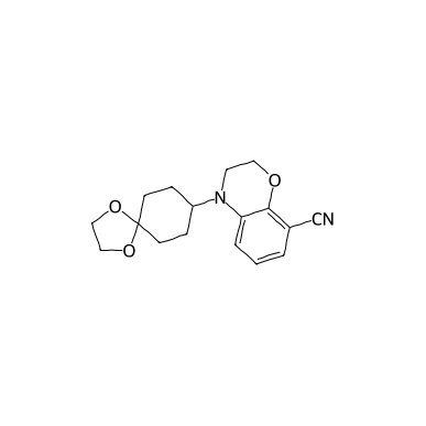 N#Cc1cccc2c1OCCN2C1CCC2(CC1)OCCO2